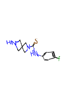 Fc1ccc(NC(=S)N2CC3(CNC3)C2)cc1